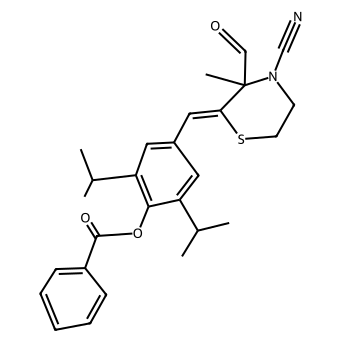 CC(C)c1cc(C=C2SCCN(C#N)C2(C)C=O)cc(C(C)C)c1OC(=O)c1ccccc1